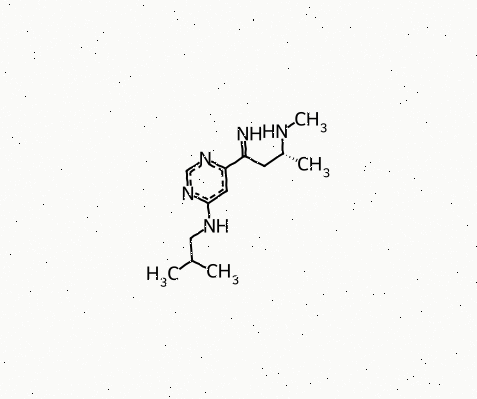 CN[C@H](C)CC(=N)c1cc(NCC(C)C)ncn1